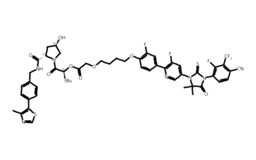 Cc1ncsc1-c1ccc(CNC(=O)[C@@H]2C[C@@H](O)CN2C(=O)[C@@H](OC(=O)COCCCCOc2ccc(-c3ncc(N4C(=S)N(c5ccc(C#N)c(C(F)(F)F)c5F)C(=O)C4(C)C)cc3F)cc2F)C(C)(C)C)cc1